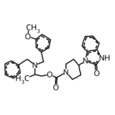 COc1cccc(CN(Cc2ccccc2)C(C)COC(=O)N2CCC(n3c(=O)[nH]c4ccccc43)CC2)c1